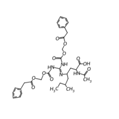 CCC(C)CC(CC(NC(C)=O)C(=O)O)N=C(NC(=O)OCOC(=O)Cc1ccccc1)NC(=O)OCOC(=O)Cc1ccccc1